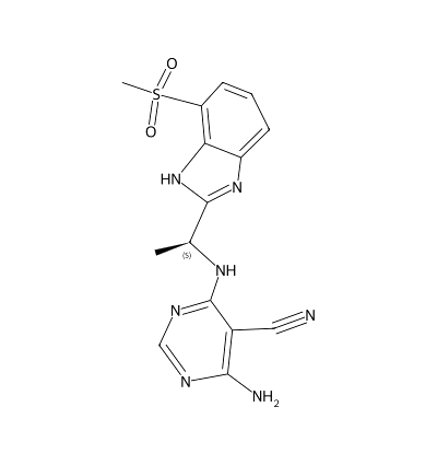 C[C@H](Nc1ncnc(N)c1C#N)c1nc2cccc(S(C)(=O)=O)c2[nH]1